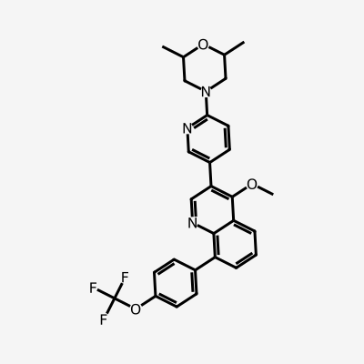 COc1c(-c2ccc(N3CC(C)OC(C)C3)nc2)cnc2c(-c3ccc(OC(F)(F)F)cc3)cccc12